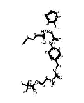 CCCCC(=O)N[C@H](Cc1ccccc1)C(=O)Nc1ccc(COC(=O)N(C)CCOC(=O)C(C)(C)C)cc1